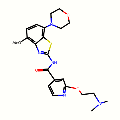 COc1ccc(N2CCOCC2)c2sc(NC(=O)c3ccnc(OCCN(C)C)c3)nc12